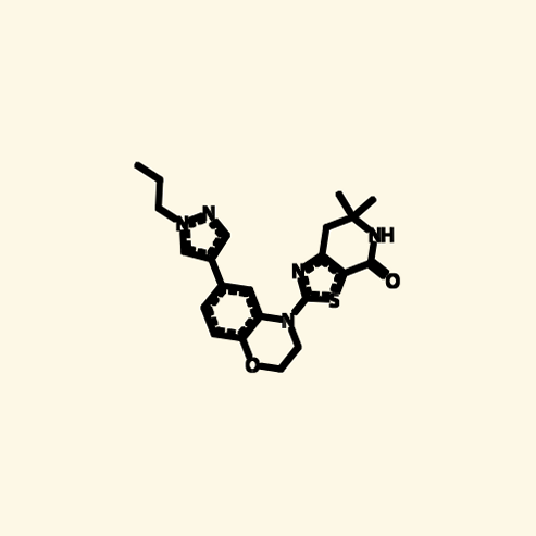 CCCn1cc(-c2ccc3c(c2)N(c2nc4c(s2)C(=O)NC(C)(C)C4)CCO3)cn1